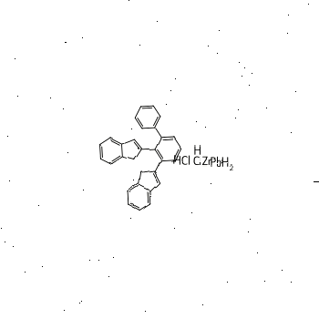 C1=C(c2cccc(-c3ccccc3)c2C2=Cc3ccccc3C2)Cc2ccccc21.Cl.Cl.[PbH2].[Zr]